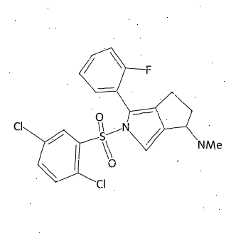 CNC1CCc2c1cn(S(=O)(=O)c1cc(Cl)ccc1Cl)c2-c1ccccc1F